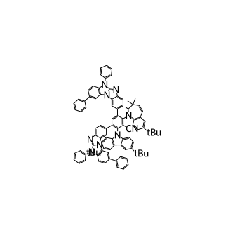 CC1N(c2c(-c3ccc4nc5n(-c6ccccc6)c6ccc(-c7ccccc7)cc6n5c4c3)cc(-c3ccc4nc5n(-c6ccccc6)c6ccc(-c7ccccc7)cc6n5c4c3)c(-n3c4ccc(C(C)(C)C)cc4c4cc(C(C)(C)C)ccc43)c2C#N)c2ccc(C(C)(C)C)cc2C=CC1(C)C